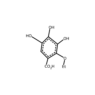 CCOc1c(C(=O)O)cc(O)c(O)c1O